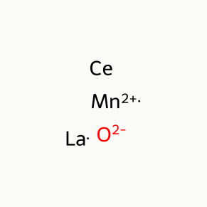 [Ce].[La].[Mn+2].[O-2]